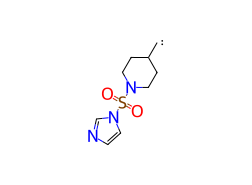 [CH]C1CCN(S(=O)(=O)n2ccnc2)CC1